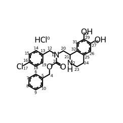 Cl.O=C(OCc1ccccc1)N(Cc1ccc(Cl)cc1)CC1NCCc2cc(O)c(O)cc21